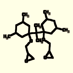 CC1CC(C)CC(OCC2CO2)(C(C)(C)C2(OCC3CO3)CC(C)CC(C)C2)C1